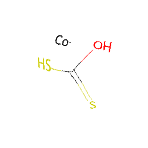 OC(=S)S.[Co]